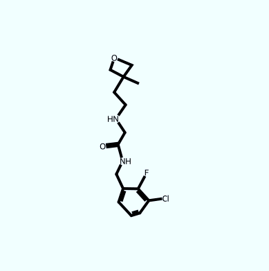 CC1(CCNCC(=O)NCc2cccc(Cl)c2F)COC1